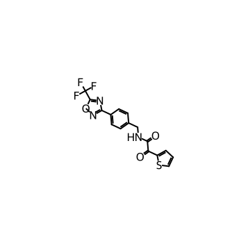 O=C(NCc1ccc(-c2noc(C(F)(F)F)n2)cc1)C(=O)c1cccs1